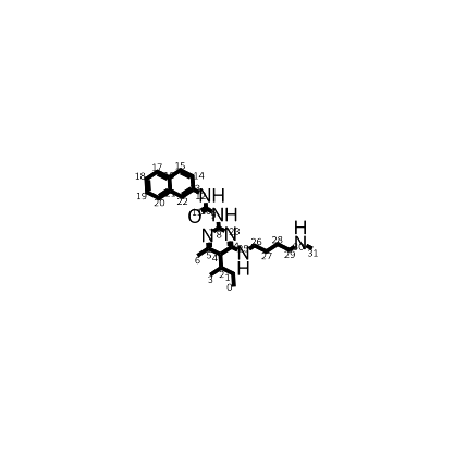 CCC(C)C1C(C)=NC(NC(=O)Nc2ccc3ccccc3c2)N=C1NCCCCNC